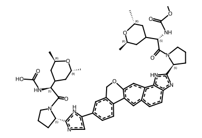 COC(=O)N[C@H](C(=O)N1CCC[C@H]1c1nc2ccc3cc4c(cc3c2[nH]1)OCc1cc(-c2cnc([C@@H]3CCCN3C(=O)[C@@H](NC(=O)O)C3C[C@@H](C)O[C@H](C)C3)[nH]2)ccc1-4)C1C[C@@H](C)O[C@H](C)C1